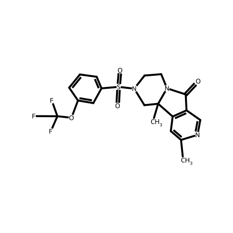 Cc1cc2c(cn1)C(=O)N1CCN(S(=O)(=O)c3cccc(OC(F)(F)F)c3)CC21C